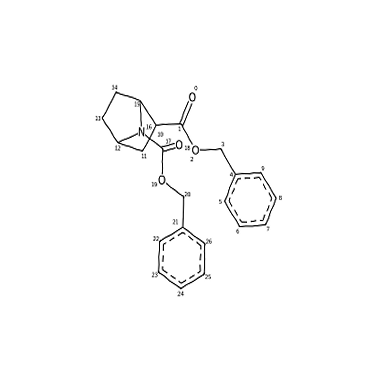 O=C(OCc1ccccc1)C1CC2CCC1N2C(=O)OCc1ccccc1